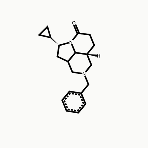 O=C1CC[C@@H]2CN(Cc3ccccc3)CC3C[C@H](C4CC4)N1C32